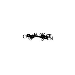 CC1=C(CCCCCCN2CCN(C(=O)c3cccc(Cl)c3)CC2)C(=O)N(c2ccc(C#N)c(C(F)(F)F)c2)C1=O